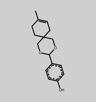 CC1=CCC2(CC1)COC(c1ccc(O)cc1)OC2